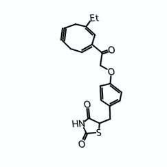 CC/C1=C/C(C(=O)COc2ccc(CC3SC(=O)NC3=O)cc2)=C\CC#CC1